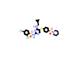 O=S(=O)(Nc1ncc(Sc2ccc(S(=O)(=O)N3CCCCC3)cc2)c(NCC2CC2)n1)c1ccc(Cl)cc1Cl